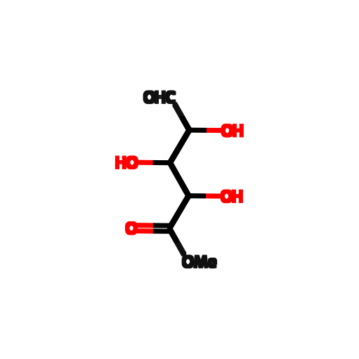 COC(=O)C(O)C(O)C(O)C=O